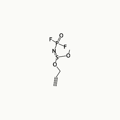 C#CCOS(=NP(=O)(F)F)OC